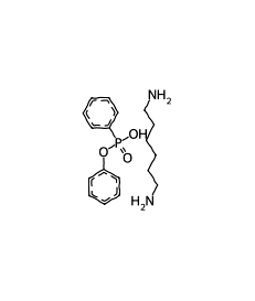 NCCCCCCN.O=P(O)(Oc1ccccc1)c1ccccc1